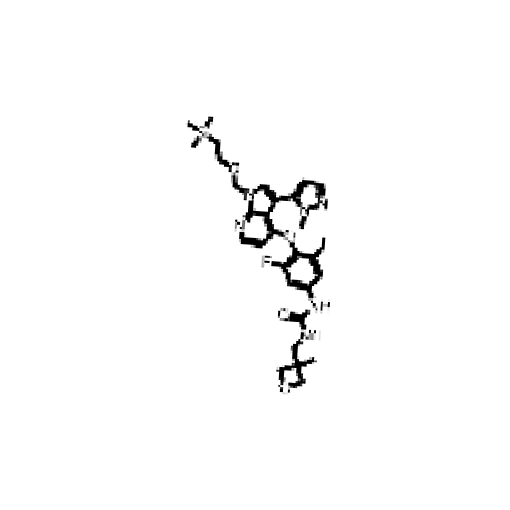 Cn1nccc1-c1cn(COCC[Si](C)(C)C)c2nccc(Oc3c(F)cc(NC(=O)NCC4(C)COC4)cc3F)c12